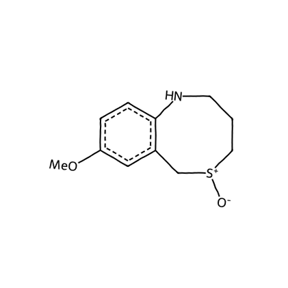 COc1ccc2c(c1)C[S+]([O-])CCCN2